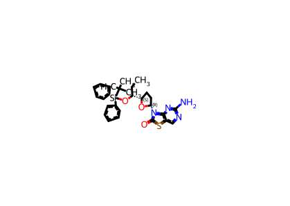 CCC(O[Si](c1ccccc1)(c1ccccc1)C(C)(C)C)[C@@H]1CC[C@H](n2c(=O)sc3cnc(N)nc32)O1